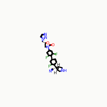 N#C[C@]1(c2ccc(-c3c(F)cc(N4C[C@H](Cn5ccnn5)OC4=O)cc3F)cc2F)[C@@H]2CNC[C@@H]21